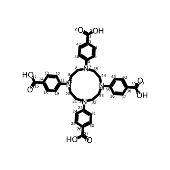 O=C(O)c1ccc(N2CCN(c3ccc(C(=O)O)cc3)CCN(c3ccc(C(=O)O)cc3)CCN(c3ccc(C(=O)O)cc3)CC2)cc1